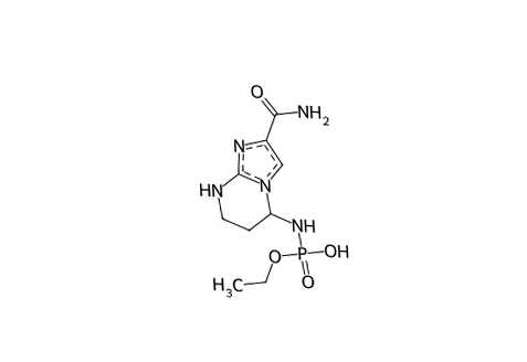 CCOP(=O)(O)NC1CCNc2nc(C(N)=O)cn21